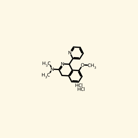 COc1cccc2c1C(c1ccccn1)N=C(N(C)C)C2.Cl.Cl